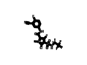 C[C@@H](NS(=O)(=O)c1c(F)c(C(=O)Nc2ccc(F)c(C#N)c2)n(C)c1Cl)C(F)(F)F